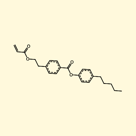 C=CC(=O)OCCc1ccc(C(=O)Oc2ccc(CCCCC)cc2)cc1